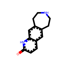 O=c1ccc2cc3c(cc2[nH]1)CCNCC3